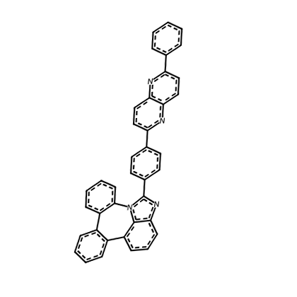 c1ccc(-c2ccc3nc(-c4ccc(-c5nc6cccc7c6n5-c5ccccc5-c5ccccc5-7)cc4)ccc3n2)cc1